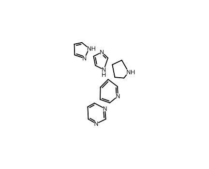 C1CCNC1.c1c[nH]cn1.c1ccncc1.c1cn[nH]c1.c1cncnc1